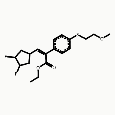 CCOC(=O)C(=CC1CC(F)C(F)C1)c1ccc(SCCOC)cc1